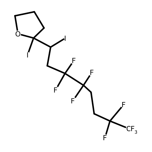 FC(F)(F)C(F)(F)CCC(F)(F)C(F)(F)CC(I)C1(I)CCCO1